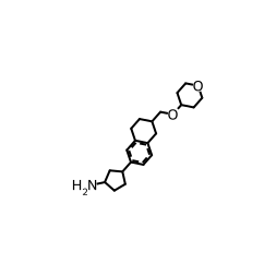 NC1CCC(c2ccc3c(c2)CCC(COC2CCOCC2)C3)C1